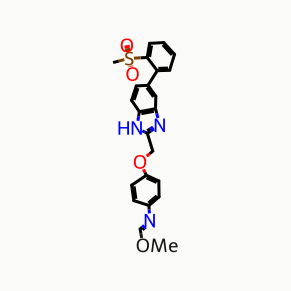 COC=Nc1ccc(OCc2nc3cc(-c4ccccc4S(C)(=O)=O)ccc3[nH]2)cc1